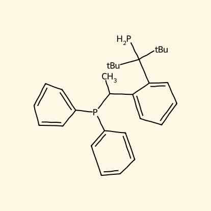 CC(c1ccccc1C(P)(C(C)(C)C)C(C)(C)C)P(c1ccccc1)c1ccccc1